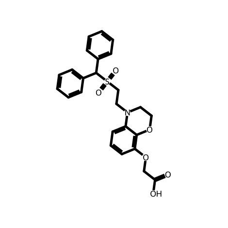 O=C(O)COc1cccc2c1OCCN2CCS(=O)(=O)C(c1ccccc1)c1ccccc1